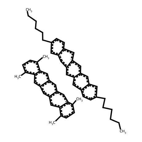 CCCCCCc1ccc2cc3cc4cc5cc(CCCCCC)ccc5cc4cc3cc2c1.Cc1ccc(C)c2cc3cc4cc5c(C)ccc(C)c5cc4cc3cc12